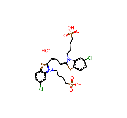 O=S(=O)(O)CCCCN1/C(=C\C=C/c2sc3ccc(Cl)cc3[n+]2CCCCS(=O)(=O)O)Sc2ccc(Cl)cc21.[OH-]